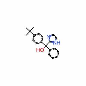 CC(C)(C)c1ccc(C(O)(c2ccccc2)c2ncc[nH]2)cc1